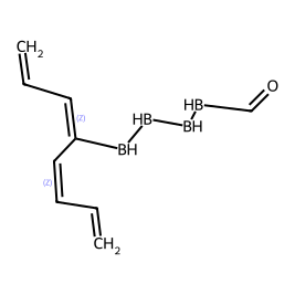 C=C/C=C\C(BBBBC=O)=C/C=C